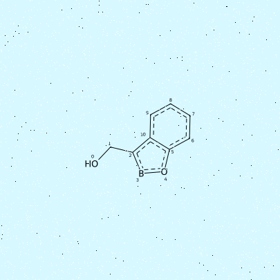 OCc1boc2ccccc12